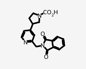 O=C(O)N1CCC(c2ccnc(CN3C(=O)c4ccccc4C3=O)c2)C1